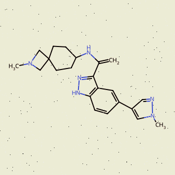 C=C(NC1CCC2(CC1)CN(C)C2)c1n[nH]c2ccc(-c3cnn(C)c3)cc12